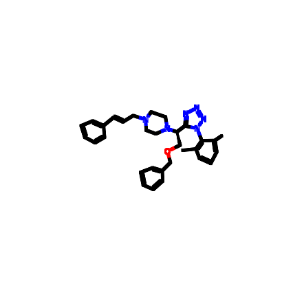 Cc1cccc(C)c1-n1nnnc1[C@@H](COCc1ccccc1)N1CCN(C/C=C/c2ccccc2)CC1